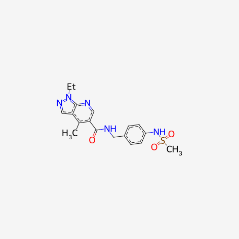 CCn1ncc2c(C)c(C(=O)NCc3ccc(NS(C)(=O)=O)cc3)cnc21